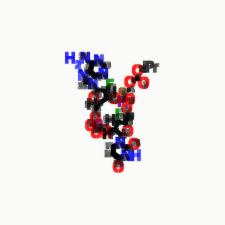 CC(C)OC(=O)OCSP1(=O)OC[C@H]2O[C@@H](n3ccc(=O)[nH]c3=O)[C@H](OP(=O)(O)OC[C@H]3O[C@@H](n4cnc5c(N)ncnc54)[C@H](F)[C@@H]3O1)[C@@H]2F